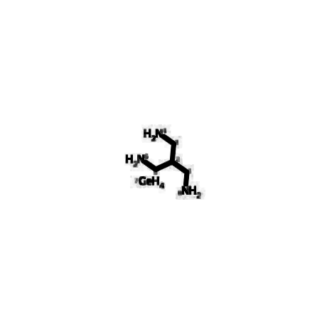 NC[C](CN)CN.[GeH4]